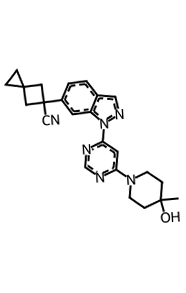 CC1(O)CCN(c2cc(-n3ncc4ccc(C5(C#N)CC6(CC6)C5)cc43)ncn2)CC1